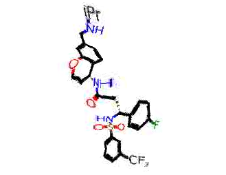 CC(C)NCc1ccc2c(c1)OCC[C@H]2NC(=O)C[C@@H](NS(=O)(=O)c1cccc(C(F)(F)F)c1)c1ccc(F)cc1